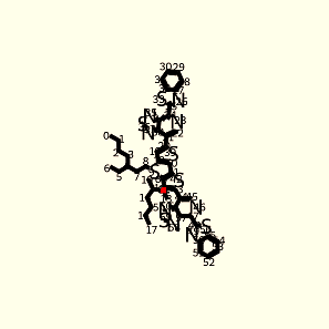 CCCCC(CC)CCS1(CC(CC)CCCC)c2cc(-c3cnc(-c4nc5ccccc5s4)c4nsnc34)sc2-c2sc(-c3cnc(-c4nc5ccccc5s4)c4nsnc34)cc21